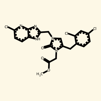 COC(=O)Cn1c(Cc2ccc(Cl)cc2Cl)cn(Cc2nc3nc(Cl)ccc3[nH]2)c1=O